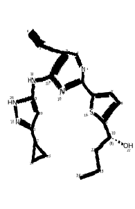 C#Cc1cnc(-c2ccc([C@H](O)CCC)s2)nc1Nc1cc(C2CC2)n[nH]1